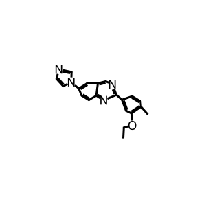 CCOc1cc(-c2ncc3cc(-n4ccnc4)ccc3n2)ccc1C